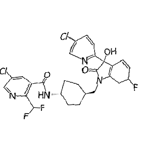 O=C(N[C@H]1CC[C@H](CN2C(=O)C(O)(c3ccc(Cl)cn3)C3=C2CC(F)C=C3)CC1)c1cc(Cl)cnc1C(F)F